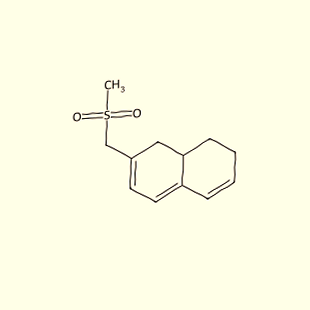 CS(=O)(=O)CC1=CC=C2C=CCCC2C1